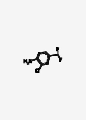 Nc1ccc(C(F)F)cc1Cl